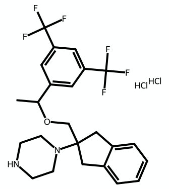 CC(OCC1(N2CCNCC2)Cc2ccccc2C1)c1cc(C(F)(F)F)cc(C(F)(F)F)c1.Cl.Cl